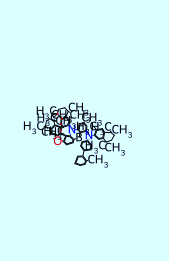 Cc1cc2c3c(c1)N(c1cc4c(cc1C)C(C)(C)CCC4(C)C)c1c(ccc4oc5cc6c(cc5c14)C(C)(C)CCC6(C)C)B3c1cc(-c3ccccc3C)ccc1N2c1cc2c(cc1C)C(C)(C)CCC2(C)C